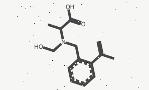 C=C(C)c1ccccc1CN(CO)C(C)C(=O)O